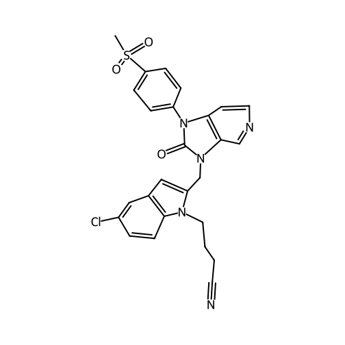 CS(=O)(=O)c1ccc(-n2c(=O)n(Cc3cc4cc(Cl)ccc4n3CCCC#N)c3cnccc32)cc1